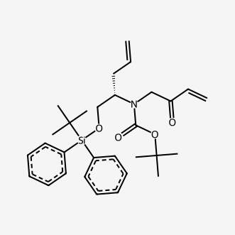 C=CC[C@@H](CO[Si](c1ccccc1)(c1ccccc1)C(C)(C)C)N(CC(=O)C=C)C(=O)OC(C)(C)C